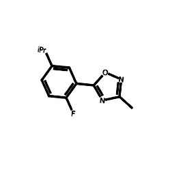 Cc1noc(-c2cc(C(C)C)ccc2F)n1